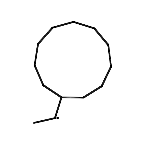 C[CH]C1CCCCCCCCCC1